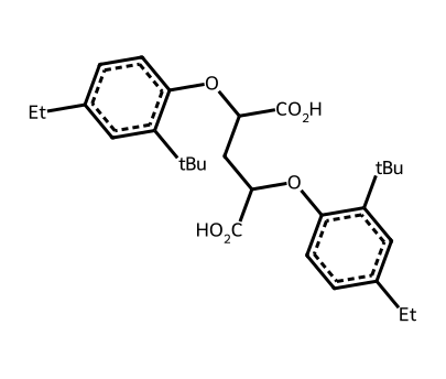 CCc1ccc(OC(CC(Oc2ccc(CC)cc2C(C)(C)C)C(=O)O)C(=O)O)c(C(C)(C)C)c1